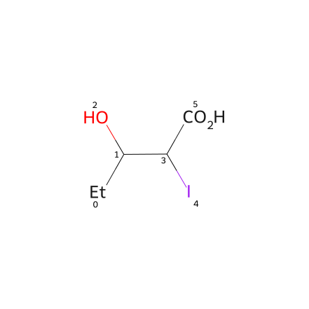 CCC(O)C(I)C(=O)O